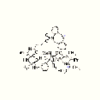 CN[C@@H](C(=O)N[C@H](C(=O)N(C)[C@H](/C=C(\C)C(=O)O)C(C)C)C(C)(C)C)C(C)(C)c1cccc(NC(=O)[C@H](C)NC(=O)[C@@H](NC(=O)CCCCC(=O)N2Cc3ccccc3/C=C\c3ccccc32)C(C)C)c1